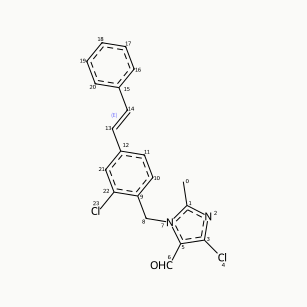 Cc1nc(Cl)c(C=O)n1Cc1ccc(/C=C/c2ccccc2)cc1Cl